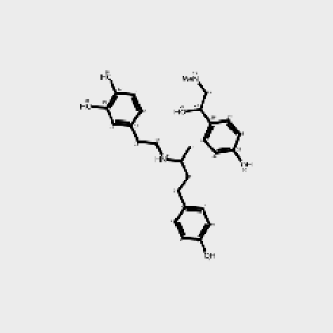 CC(CCc1ccc(O)cc1)NCCc1ccc(O)c(O)c1.CNCC(O)c1ccc(O)cc1